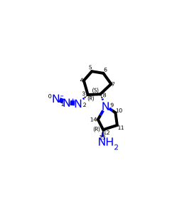 [N-]=[N+]=N[C@@H]1CCCC[C@@H]1N1CC[C@@H](N)C1